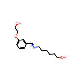 OCCCCCC/N=C/c1cccc(OCCO)c1